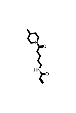 C=CC(=O)NCCCCC(=O)N1CCC(C)CC1